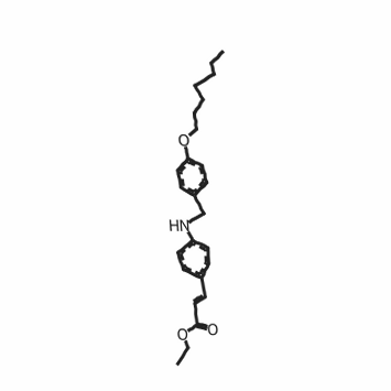 CCCCCCCOc1ccc(CNc2ccc(C=CC(=O)OCC)cc2)cc1